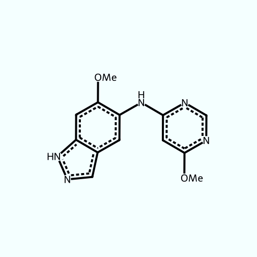 COc1cc(Nc2cc3cn[nH]c3cc2OC)ncn1